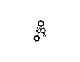 O=C1CC[C@@]2(C3CCCCC3)OC[C@H](c3ccccc3)N12